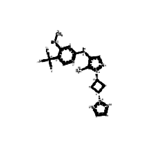 CNc1nc(Nc2cnn([C@H]3C[C@@H](n4nccn4)C3)c2C)ncc1C(F)(F)F